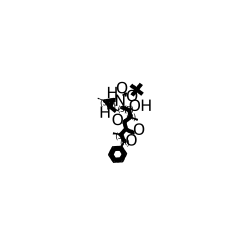 C[C@H]1[C@H]2C[C@@H]([C@H](O)[C@@H](C)C(=O)C3C(=O)O[C@@H](c4ccccc4)[C@H]3C)N(C(=O)OC(C)(C)C)[C@@H]12